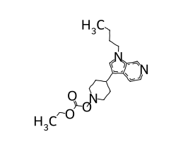 CCCCn1cc(C2CCN(OC(=O)OCC)CC2)c2ccncc21